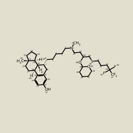 CN(CCCCC[C@@H]1Cc2cc(O)ccc2[C@H]2CC[C@]3(C)CCC[C@H]3[C@H]12)CCC(CSCCCC(F)(F)C(F)(F)F)OC1CCCCO1